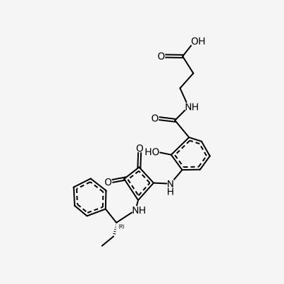 CC[C@@H](Nc1c(Nc2cccc(C(=O)NCCC(=O)O)c2O)c(=O)c1=O)c1ccccc1